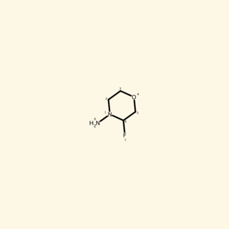 NN1CCOCC1F